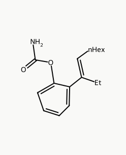 CCCCCCC=C(CC)c1ccccc1OC(N)=O